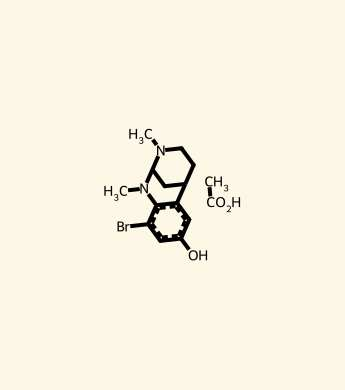 CC(=O)O.CN1CCC2CC1N(C)c1c(Br)cc(O)cc12